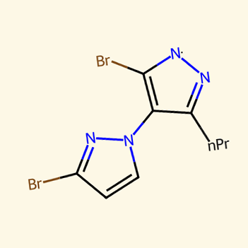 CCCC1=N[N]C(Br)=C1n1ccc(Br)n1